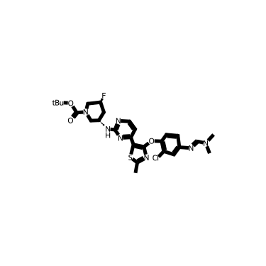 Cc1nc(Oc2ccc(/N=C/N(C)C)cc2Cl)c(-c2ccnc(N[C@H]3C[C@H](F)CN(C(=O)OC(C)(C)C)C3)n2)s1